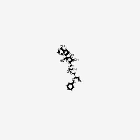 N=C[C@@]1(c2ccc3c(N)ncnn23)O[C@H](COP(=O)(O)OC[C@@H](CO)OCC2CCCCC2)C(O)C1O